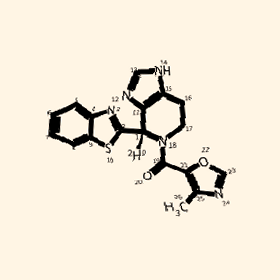 [2H][C@@]1(c2nc3ccccc3s2)c2nc[nH]c2CCN1C(=O)c1ocnc1C